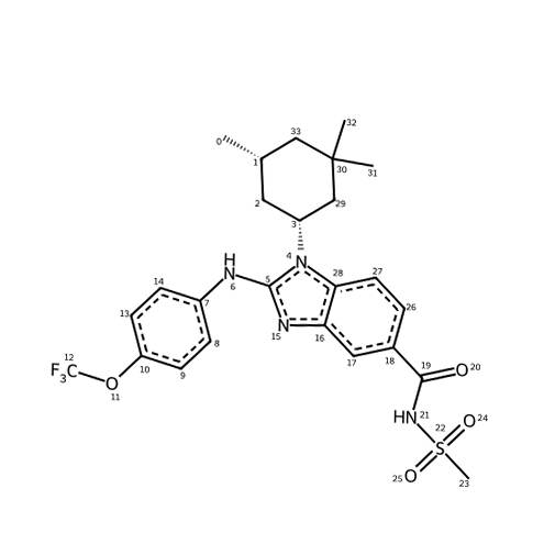 C[C@H]1C[C@@H](n2c(Nc3ccc(OC(F)(F)F)cc3)nc3cc(C(=O)NS(C)(=O)=O)ccc32)CC(C)(C)C1